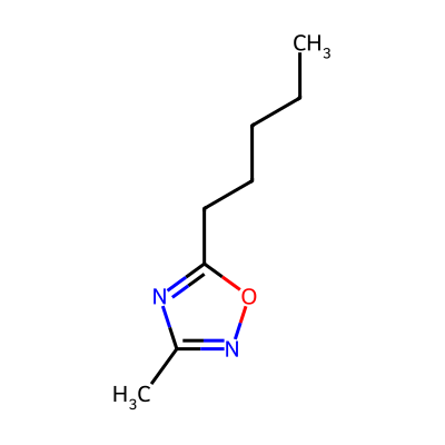 CCCCCc1nc(C)no1